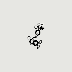 COc1cc2ncc(=O)n(CCN3CCC(N(C(=O)O)C(C)(C)C)CC3)c2cc1OC